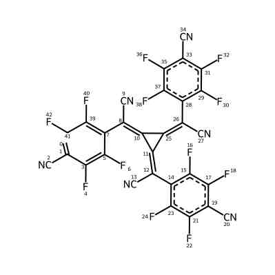 C=C(C#N)\C(F)=C(F)/C(C(/C#N)=C1\C(=C(C#N)c2c(F)c(F)c(C#N)c(F)c2F)\C1=C(/C#N)c1c(F)c(F)c(C#N)c(F)c1F)=C(/F)CF